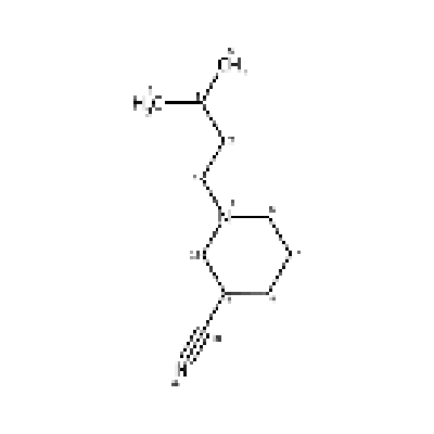 CC(C)CCN1CCCC(C#N)C1